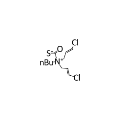 CCCC[N+](CC=CCl)(CC=CCl)C(=O)[S-]